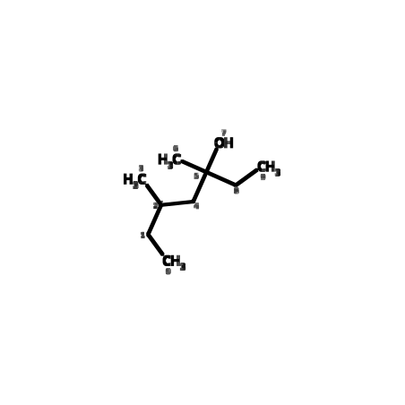 CC[C](C)CC(C)(O)CC